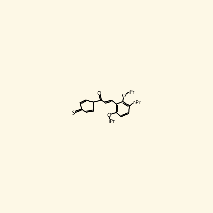 CCCc1ccc(OC(C)C)c(/C=C/C(=O)C2C=CC(=S)C=C2)c1OC(C)C